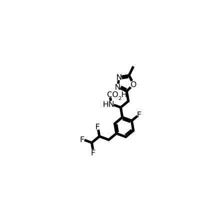 Cc1nnc(CC(NC(=O)O)c2cc(CC(F)C(F)F)ccc2F)o1